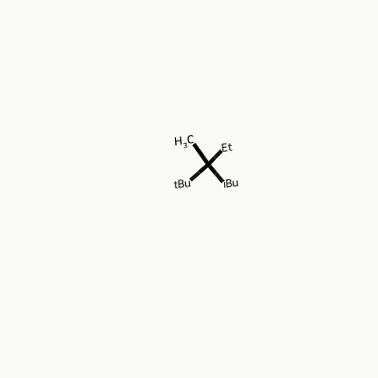 [CH2]C(C)(C)C(C)(CC)C(C)CC